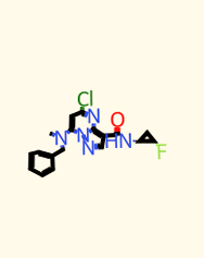 CN(Cc1ccccc1)c1cc(Cl)nc2c(C(=O)N[C@@H]3C[C@@H]3F)cnn12